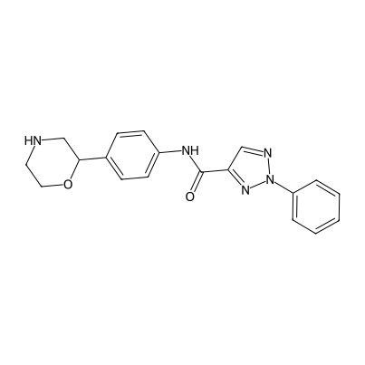 O=C(Nc1ccc(C2CNCCO2)cc1)c1cnn(-c2ccccc2)n1